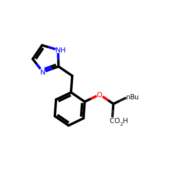 CCCCC(Oc1ccccc1Cc1ncc[nH]1)C(=O)O